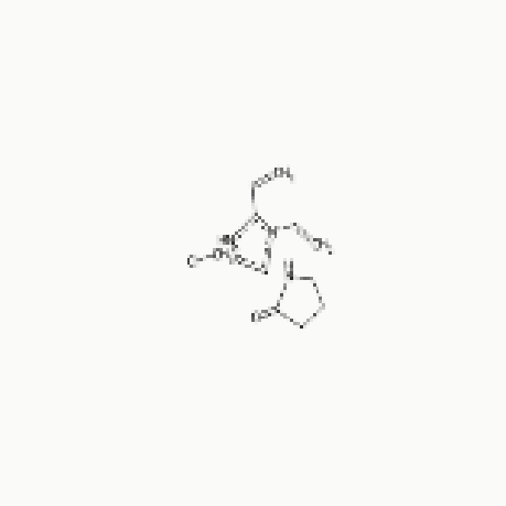 C=Cc1[nH]cc[n+]1C=C.CCl.O=C1CCCN1